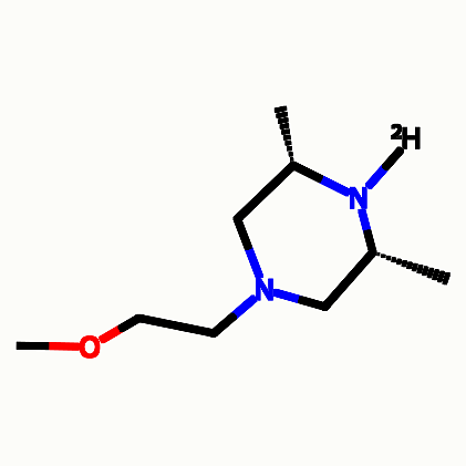 [2H]N1[C@H](C)CN(CCOC)C[C@@H]1C